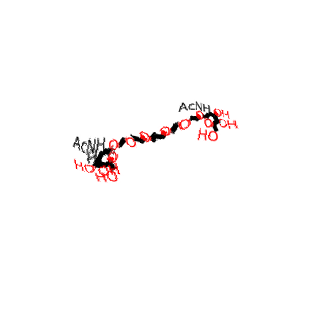 CC(=O)NC1C(O)[C@@H](O)C(CO)O[C@H]1OCCOCCOCCCOCCOCCO[C@@H]1OC(CO)C2(O)C(O)[C@@H]2C1NC(C)=O